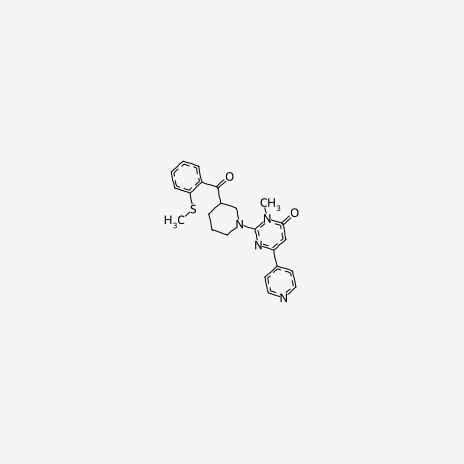 CSc1ccccc1C(=O)C1CCCN(c2nc(-c3ccncc3)cc(=O)n2C)C1